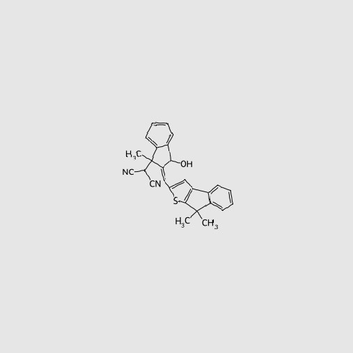 CC1(C)c2ccccc2-c2cc(/C=C3\C(O)c4ccccc4C3(C)C(C#N)C#N)sc21